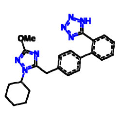 COc1nc(Cc2ccc(-c3ccccc3-c3nnn[nH]3)cc2)n(C2CCCCC2)n1